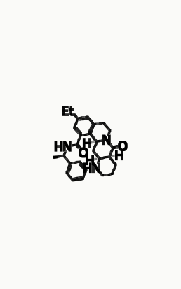 CCc1cc2c(c(C(=O)N[C@H](C)c3ccccc3)c1)[C@@H]1C[C@@H]3NCCC[C@@H]3C(=O)N1CC2